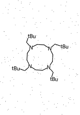 CC(C)(C)CN1CCN(CC(C)(C)C)CCN(CC(C)(C)C)CCN(CC(C)(C)C)CC1